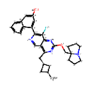 CN[C@H]1C[C@@H](Cc2nc(OCC34CCCN3CCC4)nc3c(F)c(-c4cc(O)cc5ccccc45)ncc23)C1